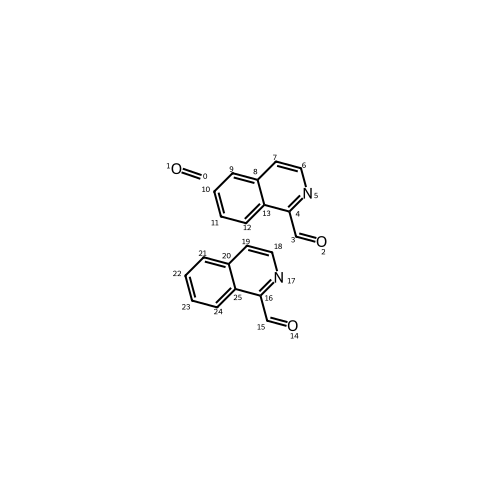 C=O.O=Cc1nccc2ccccc12.O=Cc1nccc2ccccc12